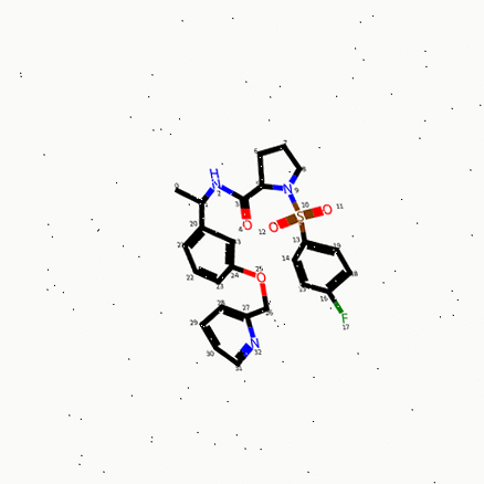 CC(NC(=O)C1CCCN1S(=O)(=O)c1ccc(F)cc1)c1cccc(OCc2ccccn2)c1